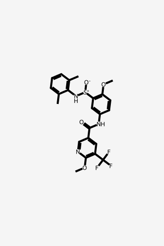 COc1ccc(NC(=O)c2cnc(OC)c(C(F)(F)F)c2)cc1[S+]([O-])Nc1c(C)cccc1C